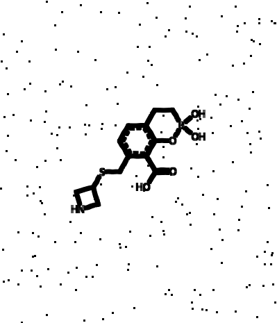 O=C(O)c1c(CSC2CNC2)ccc2c1O[B-](O)(O)CC2